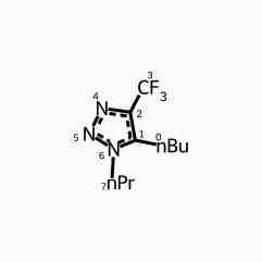 CCCCc1c(C(F)(F)F)nnn1CCC